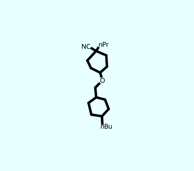 CCCCC1CCC(COC2CCC(C#N)(CCC)CC2)CC1